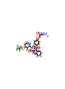 Cc1c(OCC(F)(F)F)ccnc1C[S+]([O-])c1nc2ccccc2n1S(=O)(=O)c1ccc(OCC(N)=O)cc1